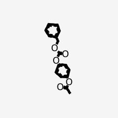 CC(=O)Oc1ccc(OC(=O)OCc2ccccc2)cc1